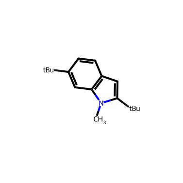 Cn1c(C(C)(C)C)cc2ccc(C(C)(C)C)cc21